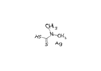 CN(C)C(=S)S.[Ag]